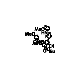 COc1ccc(CN(CC2(C)CN(C(=O)OC(C)(C)C)c3c(C#N)cc(-c4ccnc(Nc5cccnc5OC)n4)cc32)C(C)=O)c(OC)c1